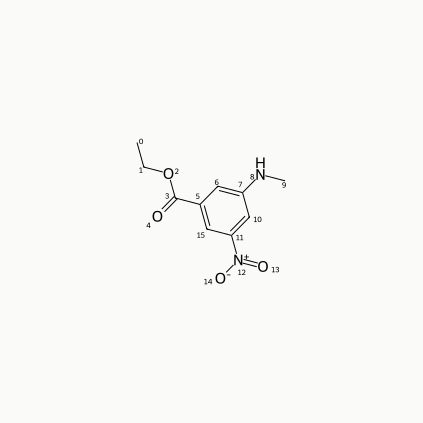 CCOC(=O)c1cc(NC)cc([N+](=O)[O-])c1